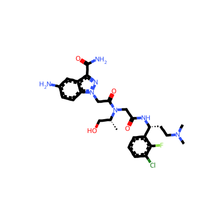 C[C@H](CO)N(CC(=O)N[C@H](CCN(C)C)c1cccc(Cl)c1F)C(=O)Cn1nc(C(N)=O)c2cc(N)ccc21